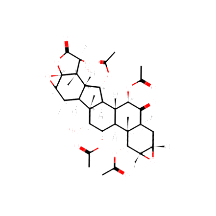 CC(=O)O[C@@H]1[C@H]2[C@H]3[C@H]([C@H](OC(C)=O)[C@H](O)[C@]2(C)[C@H]2[C@H](C)[C@H]4O[C@]45OC(=O)[C@@](C)(O)[C@]5(C)[C@H]12)[C@]1(C)[C@H](C[C@@H]2O[C@@H]2[C@@H]1OC(C)=O)C(=O)[C@@H]3OC(C)=O